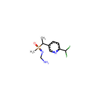 CC(c1ccc(C(F)F)nc1)S(C)(=O)=NCN